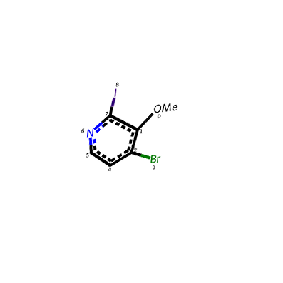 COc1c(Br)ccnc1I